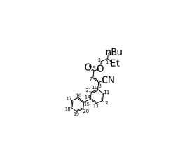 CCCCC(CC)COC(=O)C=C(C#N)c1cccc(-c2ccccc2)c1